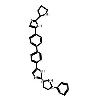 c1ccc([C@H]2CC[C@@H](c3ncc(-c4ccc(-c5ccc(-c6cnc(C7CCCN7)[nH]6)cc5)cc4)[nH]3)N2)cc1